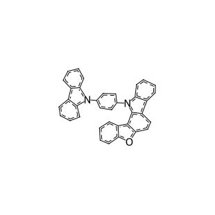 c1ccc2c(c1)oc1ccc3c4ccccc4n(-c4ccc(-n5c6ccccc6c6ccccc65)cc4)c3c12